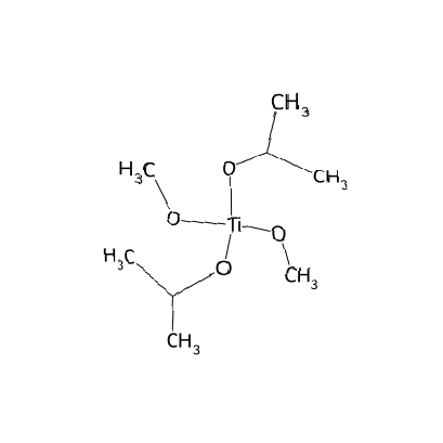 C[O][Ti]([O]C)([O]C(C)C)[O]C(C)C